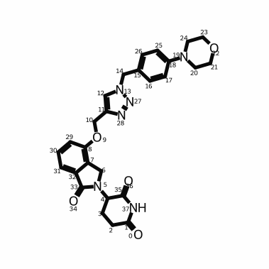 O=C1CCC(N2Cc3c(OCc4cn(Cc5ccc(N6CCOCC6)cc5)nn4)cccc3C2=O)C(=O)N1